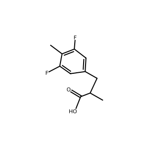 Cc1c(F)cc(CC(C)C(=O)O)cc1F